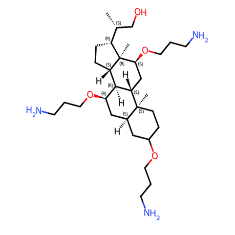 C[C@H](CO)[C@H]1CC[C@H]2[C@@H]3[C@H](OCCCN)C[C@@H]4CC(OCCCN)CC[C@]4(C)[C@H]3C[C@H](OCCCN)[C@]12C